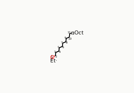 C[CH]OCCCCCCCCCCCCCCCCCC